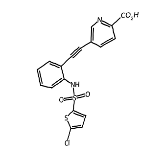 O=C(O)c1ccc(C#Cc2ccccc2NS(=O)(=O)c2ccc(Cl)s2)cn1